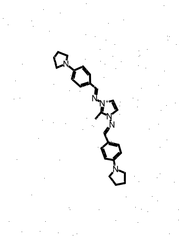 Cc1n(N=Cc2ccc(N3CCCC3)cc2)cc[n+]1N=Cc1ccc(N2CCCC2)cc1